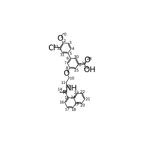 COc1ccc(-c2cc(OCCN[C@H](C)c3cccc4ccccc34)cc(C(=O)O)c2)cc1Cl